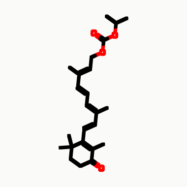 CC(C=CC1=C(C)C(=O)CCC1(C)C)=CC=CC(C)=CCOC(=O)OC(C)C